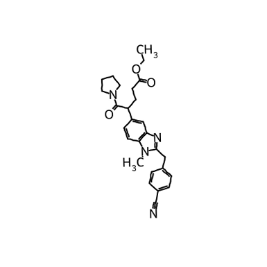 CCOC(=O)CCC(C(=O)N1CCCC1)c1ccc2c(c1)nc(Cc1ccc(C#N)cc1)n2C